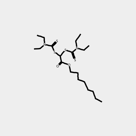 CCCCCCCCOC(=O)C(SC(=S)N(CC)CC)SC(=S)N(CC)CC